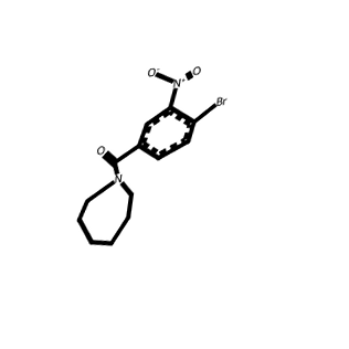 O=C(c1ccc(Br)c([N+](=O)[O-])c1)N1CCCCCC1